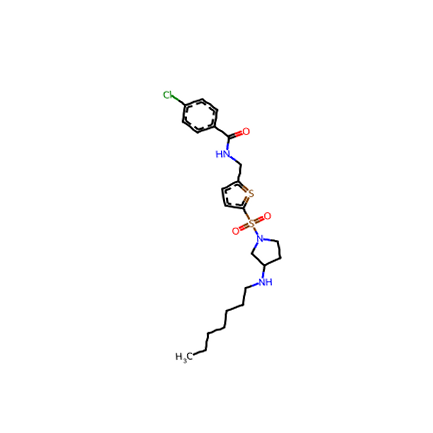 CCCCCCCNC1CCN(S(=O)(=O)c2ccc(CNC(=O)c3ccc(Cl)cc3)s2)C1